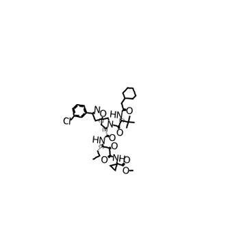 CCC[C@H](NC(=O)[C@@H]1C[C@]2(CC(c3cccc(Cl)c3)=NO2)CN1C(=O)[C@@H](NC(=O)CC1CCCCC1)C(C)(C)C)C(=O)C(=O)NC1(C(=O)OC)CC1